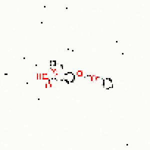 CCOC(Cc1ccc(OCCOCc2ccccc2)cc1)C(=O)O